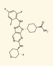 NC(=O)[C@H]1CC[C@H](n2c(Nc3c(F)cc(F)cc3F)nc3cnc(N[C@@H]4CCOC[C@H]4F)nc32)CC1